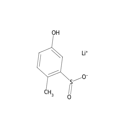 Cc1ccc(O)cc1S(=O)[O-].[Li+]